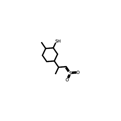 CC(C=S(=O)=O)C1CCC(C)C(S)C1